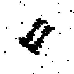 C[C@@](CCN1Cc2cc(C#Cc3ccc(C4(CN)CC4)cc3)cn2C1=O)(C(=O)NO)S(C)(=O)=O.C[C@@](CCN1Cc2cc(C#Cc3ccc(C4(CO)CC4)cc3)cn2C1=O)(C(=O)NO)S(C)(=O)=O